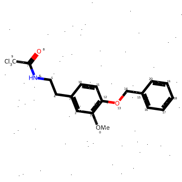 COc1cc(CCNC(=O)C(Cl)(Cl)Cl)ccc1OCc1ccccc1